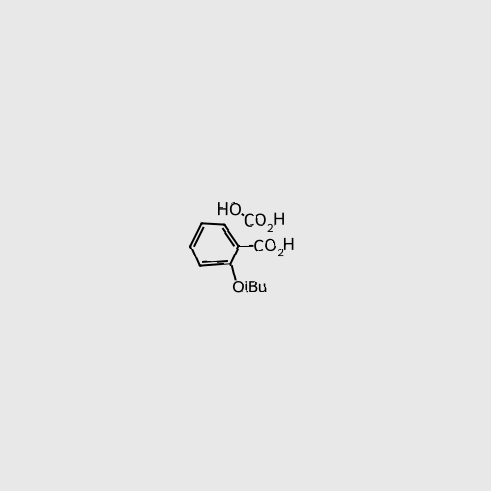 CC(C)COc1ccccc1C(=O)O.O=C(O)O